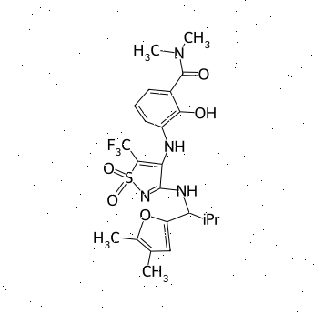 Cc1cc(C(NC2=NS(=O)(=O)C(C(F)(F)F)=C2Nc2cccc(C(=O)N(C)C)c2O)C(C)C)oc1C